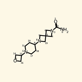 NC(=O)N1CC2(C1)CN(C1CCN(C3COC3)CC1)C2